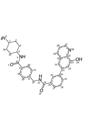 CC(C)C1CCC(NC(=O)c2ccc(CNC(=O)c3cccc(-c4cc(O)c5ncccc5c4)c3)cc2)CC1